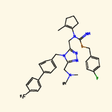 CC1=C(N(Cc2nnc(CN(C)C(C)C)n2Cc2ccc(-c3ccc(C(F)(F)F)cc3)cc2)C(=N)SCc2ccc(F)cc2)CCC1